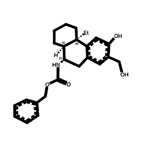 CC[C@@]12CCCC[C@@H]1[C@@H](NC(=O)OCc1ccccc1)Cc1cc(CO)c(O)cc12